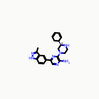 Cc1n[nH]c2ccc(-c3cnc(N)c(N4CCN[C@H](C5C=CC=CC5)C4)n3)cc12